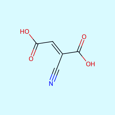 N#C/C(=C\C(=O)O)C(=O)O